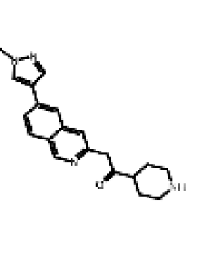 Cn1cc(-c2ccc3cnc(CC(=O)C4CCNCC4)cc3c2)cn1